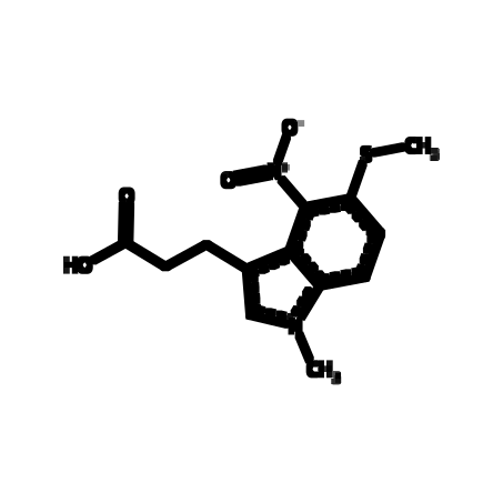 CSc1ccc2c(c(CCC(=O)O)cn2C)c1[N+](=O)[O-]